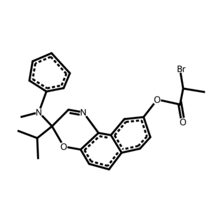 CC(Br)C(=O)Oc1ccc2ccc3c(c2c1)N=CC(C(C)C)(N(C)c1ccccc1)O3